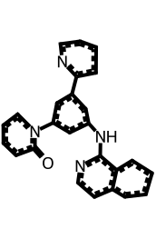 O=c1ccccn1-c1cc(Nc2nccc3ccccc23)cc(-c2ccccn2)c1